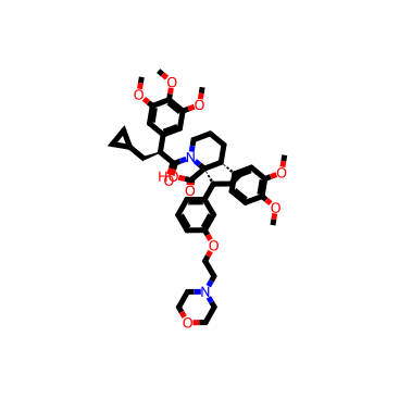 CCC(c1cccc(OCCN2CCOCC2)c1)[C@@]1(C(=O)O)[C@@H](c2ccc(OC)c(OC)c2)CCCN1C(=O)[C@@H](CC1CC1)c1cc(OC)c(OC)c(OC)c1